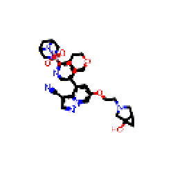 N#Cc1cnn2cc(OCCN3CC4CC4(O)C3)cc(-c3ccc(N4CC5CC(C4)N5S(=O)(=O)CC4CCOCC4)nc3)c12